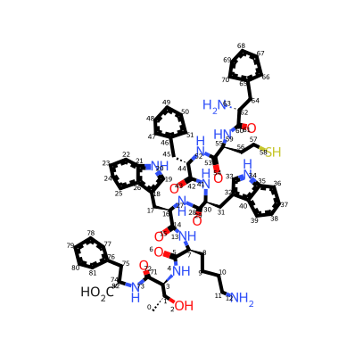 C[C@@H](O)[C@H](NC(=O)[C@H](CCCCN)NC(=O)[C@@H](Cc1c[nH]c2ccccc12)NC(=O)[C@H](Cc1c[nH]c2ccccc12)NC(=O)[C@H](Cc1ccccc1)NC(=O)[C@H](CCS)NC(=O)[C@H](N)Cc1ccccc1)C(=O)N[C@@H](Cc1ccccc1)C(=O)O